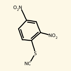 N#CSc1ccc([N+](=O)[O-])cc1[N+](=O)[O-]